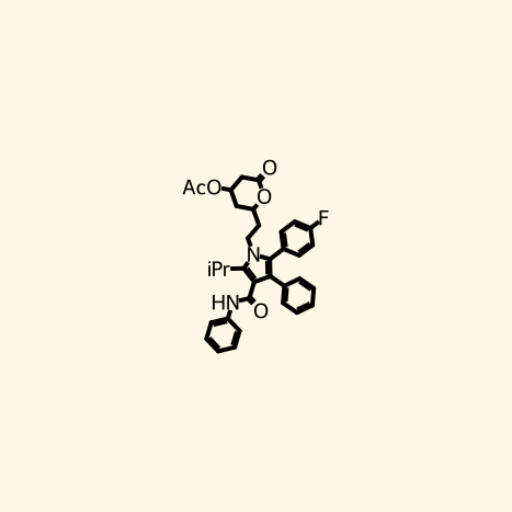 CC(=O)OC1CC(=O)OC(CCn2c(-c3ccc(F)cc3)c(-c3ccccc3)c(C(=O)Nc3ccccc3)c2C(C)C)C1